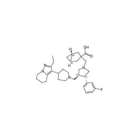 CCc1nn2c(c1C1CCN(C[C@H]3CN(CC4(C(=O)O)C[C@H]5C[C@@H]5C4)C[C@@H]3c3cccc(F)c3)CC1)CCCC2